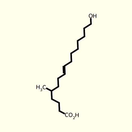 CC(CCC=CCCCCCCCO)CCCC(=O)O